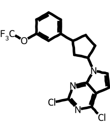 FC(F)(F)Oc1cccc(C2CCC(n3ccc4c(Cl)nc(Cl)nc43)C2)c1